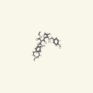 CCOC(=O)C(C(=O)c1scc(C)c1NCc1ccc(OC)cc1)c1nc2cc3c(cc2[nH]1)CCN(C)CC3